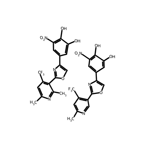 Cc1cc(C(F)(F)F)c(-c2nc(-c3cc(O)c(O)c([N+](=O)[O-])c3)co2)c(C)n1.Cc1cc(C(F)(F)F)c(-c2nc(-c3cc(O)c(O)c([N+](=O)[O-])c3)co2)cn1